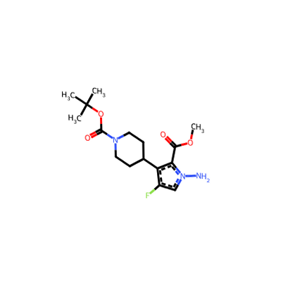 COC(=O)c1c(C2CCN(C(=O)OC(C)(C)C)CC2)c(F)cn1N